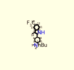 CCCCC1(N(C)C)CCC(c2[nH]c3ccc(C(F)(F)F)cc3c2C)CC1